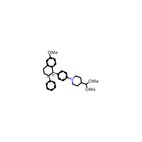 COc1ccc2c(c1)CC[C@H](c1ccccc1)[C@@H]2c1ccc(N2CCC(C(OC)OC)CC2)cc1